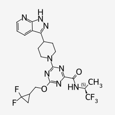 C[C@H](NC(=O)c1nc(OCC2CC2(F)F)nc(N2CCC(c3n[nH]c4ncccc34)CC2)n1)C(F)(F)F